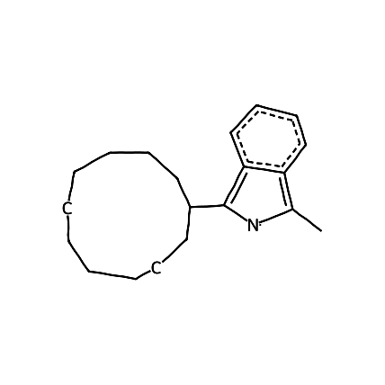 CC1=c2ccccc2=C(C2CCCCCCCCCC2)[N]1